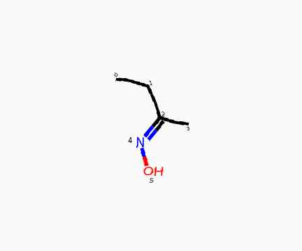 CCC(C)=NO